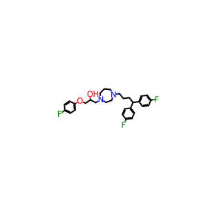 OC(COc1ccc(F)cc1)CN1CCCN(CCCC(c2ccc(F)cc2)c2ccc(F)cc2)CC1